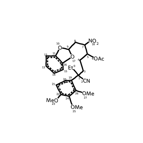 CCC(C#N)(CCC(OC(C)=O)C(CC1Oc2ccccc2O1)[N+](=O)[O-])c1ccc(OC)c(OC)c1OC